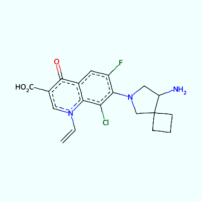 C=Cn1cc(C(=O)O)c(=O)c2cc(F)c(N3CC(N)C4(CCC4)C3)c(Cl)c21